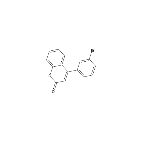 O=c1cc(-c2cccc(Br)c2)c2ccccc2o1